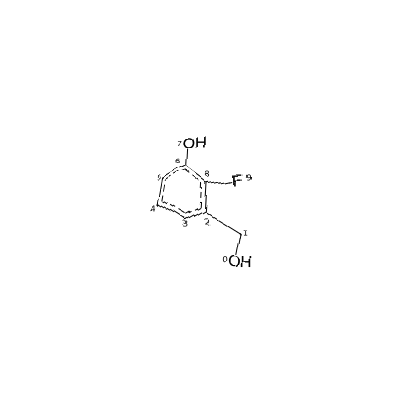 OCc1cccc(O)c1F